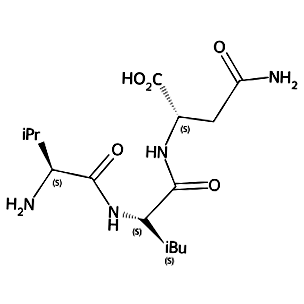 CC[C@H](C)[C@H](NC(=O)[C@@H](N)C(C)C)C(=O)N[C@@H](CC(N)=O)C(=O)O